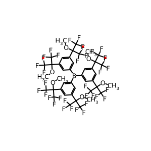 COC(c1cc(B(c2cc(C(OC)(C(F)(F)F)C(F)(F)F)cc(C(OC)(C(F)(F)F)C(F)(F)F)c2)c2cc(C(OC)(C(F)(F)F)C(F)(F)F)cc(C(OC)(C(F)(F)F)C(F)(F)F)c2)cc(C(OC)(C(F)(F)F)C(F)(F)F)c1)(C(F)(F)F)C(F)(F)F